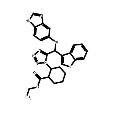 CCOC(=O)C1CCCCC1n1nnnc1C(Nc1ccc2[nH]cnc2c1)c1csc2ccccc12